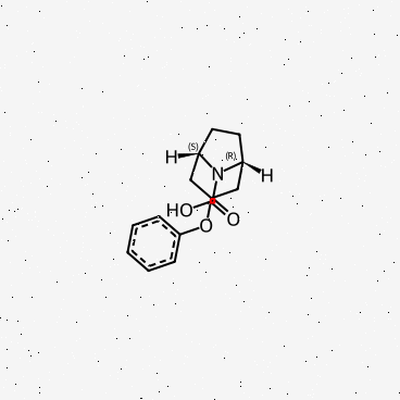 O=C(O)N1[C@@H]2CC[C@H]1CC(Oc1ccccc1)C2